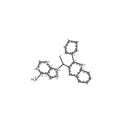 CC(c1cc2ccccc2nc1-c1ccccc1)n1ncc2c(N)ncnc21